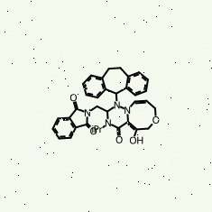 CC(C)N1C(=O)/C2=C(\O)COC/C=C\N2N(C2c3ccccc3CCc3ccccc32)C1CN1C(=O)c2ccccc2C1=O